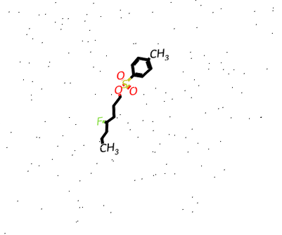 CCCC(F)CCCOS(=O)(=O)c1ccc(C)cc1